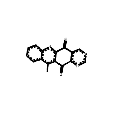 Cc1c2c(nc3ccccc13)C(=O)c1cncnc1C2=O